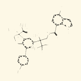 C[C@]1(C(N)=O)COc2c1cc(C(O)(CNC(=O)c1ccc(F)c3cc[nH]c13)C(F)(F)F)nc2-c1ccc(F)cc1